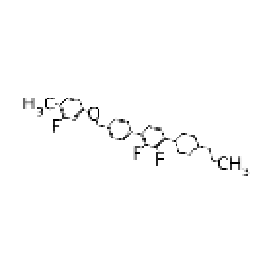 CCCC1CCC(c2ccc(-c3ccc(COc4ccc(C)c(F)c4)cc3)c(F)c2F)CC1